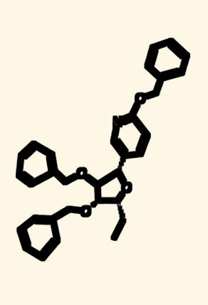 CC[C@H]1O[C@@H](c2ccc(OCc3ccccc3)nc2)C(OCc2ccccc2)[C@H]1OCc1ccccc1